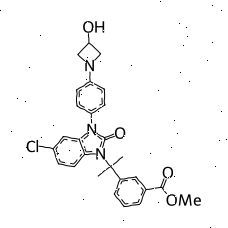 COC(=O)c1cccc(C(C)(C)n2c(=O)n(-c3ccc(N4CC(O)C4)cc3)c3cc(Cl)ccc32)c1